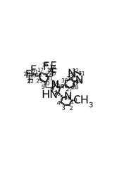 Cc1cccc(-c2[nH]c(Cc3cc(C(F)(F)F)cc(C(F)(F)F)c3)nc2-c2ccc3nccnc3c2)n1